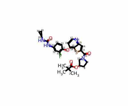 CC(C)(C)C(=O)OC1CCN(C(=O)c2cc3nccc(Oc4ccc(NC(=O)NC5CC5)cc4F)c3s2)C1